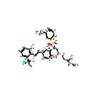 COC(=O)CC[C@H]1CN(S(=O)(=O)c2cccc(C(F)(F)F)c2)c2cc(/C=C/c3c(Cl)cccc3C(C)(F)F)ccc2O1